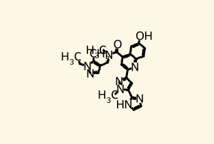 CCn1ncc(CN(C)C(=O)c2cc(-c3cc(-c4ncc[nH]4)n(C)n3)nc3ccc(O)cc23)c1C